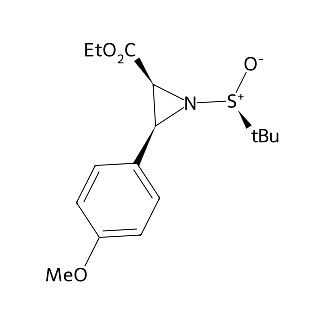 CCOC(=O)[C@@H]1[C@H](c2ccc(OC)cc2)N1[S@@+]([O-])C(C)(C)C